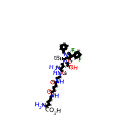 CC(C)(C)C(c1cc(-c2cc(F)ccc2F)cn1Cc1ccccc1)N(CCC(N)C(=O)NCCNC(=O)CCCC(=O)NCCCCC(N)C(=O)O)C(=O)CO